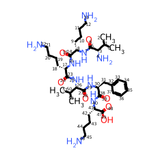 CC(C)[C@H](N)C(=O)N[C@@H](CCCCN)C(=O)N[C@@H](CCCCN)C(=O)N[C@H](C(=O)N[C@@H](Cc1ccccc1)C(=O)N[C@@H](CCCCN)C(=O)O)C(C)C